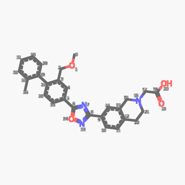 COCc1cc(-c2nc(-c3ccc4c(c3)CN(CC(=O)O)CC4)no2)ccc1-c1ccccc1C